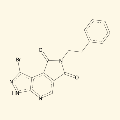 O=C1c2cnc3[nH]nc(Br)c3c2C(=O)N1CCc1ccccc1